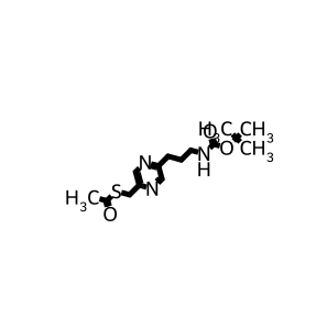 CC(=O)SCc1cnc(CCCNC(=O)OC(C)(C)C)cn1